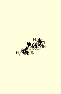 C[C@H](N)C(=O)N(CCSCc1cnccc1SC1=C(C(=O)O)N2C(=O)[C@@H](NC(=O)/C(=N\O)c3nc(N)sc3Cl)[C@@H]2SC1)C(=O)[C@H](C)N